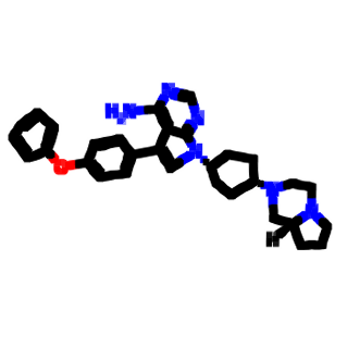 Nc1ncnc2c1c(-c1ccc(Oc3ccccc3)cc1)cn2[C@H]1CC[C@@H](N2CCN3CCC[C@@H]3C2)CC1